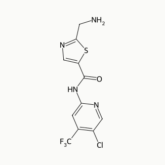 NCc1ncc(C(=O)Nc2cc(C(F)(F)F)c(Cl)cn2)s1